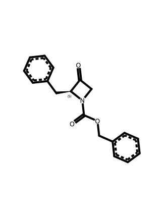 O=C1CN(C(=O)OCc2ccccc2)[C@H]1Cc1ccccc1